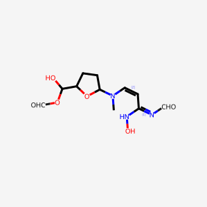 CN(/C=C\C(=N/C=O)NO)C1CCC(C(O)OC=O)O1